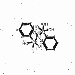 O[P](O)(O)(c1ccccc1)[Pd]([Cl])([Cl])[P](O)(O)(O)c1ccccc1